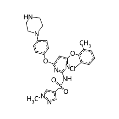 Cc1cccc(Cl)c1Oc1cc(Oc2ccc(N3CCNCC3)cc2)nc(NS(=O)(=O)c2cnn(C)c2)n1